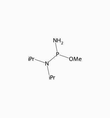 COP(N)N(C(C)C)C(C)C